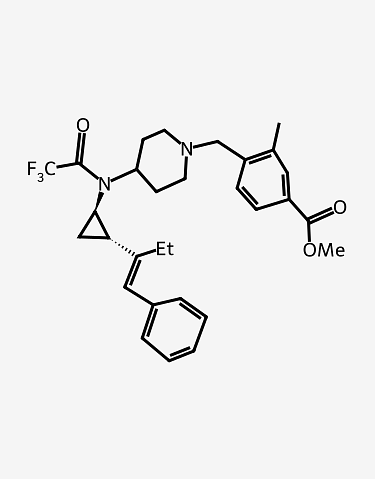 CC/C(=C\c1ccccc1)[C@@H]1C[C@H]1N(C(=O)C(F)(F)F)C1CCN(Cc2ccc(C(=O)OC)cc2C)CC1